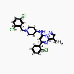 Bc1cnn2c(NC3CCN(Cc4cc(Cl)ccc4Cl)CC3)cc(-c3ccccc3Cl)nc12